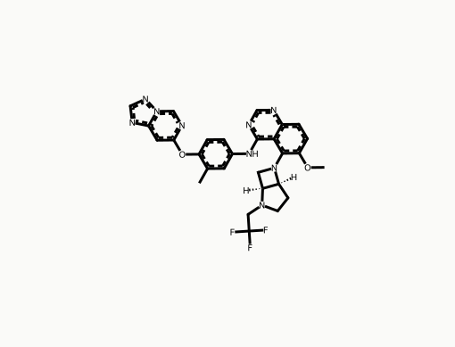 COc1ccc2ncnc(Nc3ccc(Oc4cc5ncnn5cn4)c(C)c3)c2c1N1C[C@H]2[C@@H]1CCN2CC(F)(F)F